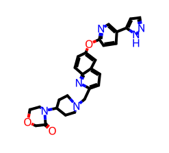 O=C1COCCN1C1CCN(Cc2ccc3cc(Oc4ccc(-c5ccn[nH]5)cn4)ccc3n2)CC1